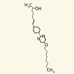 CCCCCCCCOc1cnc(-c2ccc(C=CCCCC(C)O)cc2)nc1